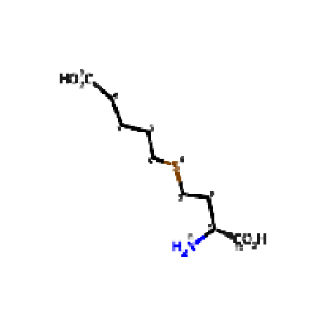 N[C@@H](CCSCCCCC(=O)O)C(=O)O